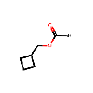 CC(C)C(=O)OCC1CCC1